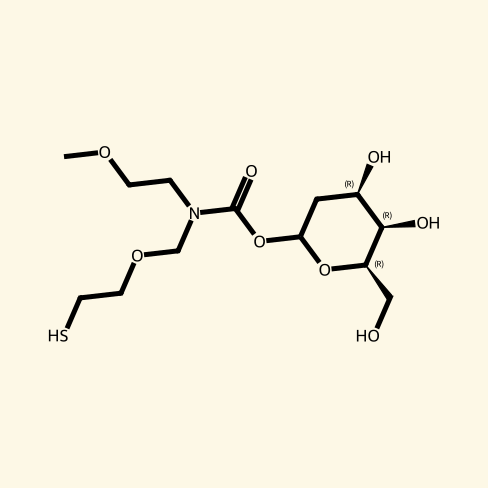 COCCN(COCCS)C(=O)OC1C[C@@H](O)[C@@H](O)[C@@H](CO)O1